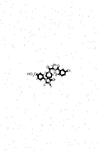 CCc1ccc(F)c(C(=O)N[C@@H](C(=O)N2CCC3(CC2)C(=O)N(C)[C@H](C)N3c2ccc(C(=O)O)cc2)C(C)C)c1